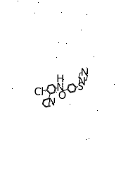 CN1CCN(Sc2ccc(C(=O)Nc3ccc(Cl)c(-c4ccccn4)c3)cc2)CC1